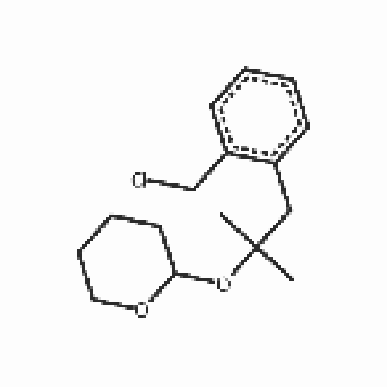 CC(C)(Cc1ccccc1CCl)OC1CCCCO1